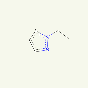 CCn1[c]ccn1